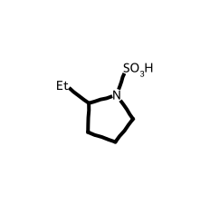 CCC1CCCN1S(=O)(=O)O